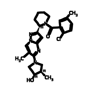 Cc1ccc(Cl)c(C(=O)N2CCCC[C@H]2c2cc3nc(N4C[C@@H](C)[C@@H](O)C4)c(C)cn3n2)c1